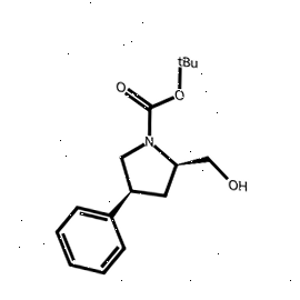 CC(C)(C)OC(=O)N1C[C@H](c2ccccc2)C[C@@H]1CO